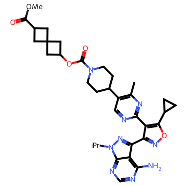 COC(=O)C1CC2(CC(OC(=O)N3CCC(c4cnc(-c5c(-c6nn(C(C)C)c7ncnc(N)c67)noc5C5CC5)nc4C)CC3)C2)C1